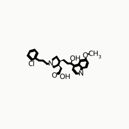 COc1ccc2nccc([C@H](O)CC[C@@H]3CCN(CCCc4ccccc4Cl)C[C@@H]3CC(=O)O)c2c1